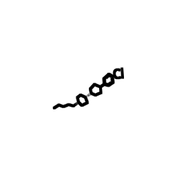 CCCCC[C@H]1CC[C@H](C2CCC(c3ccc(Cl)cc3)CC2)CC1